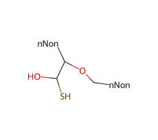 CCCCCCCCCCOC(CCCCCCCCC)C(O)S